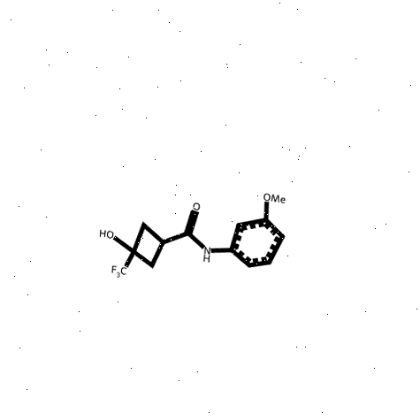 COc1cccc(NC(=O)C2CC(O)(C(F)(F)F)C2)c1